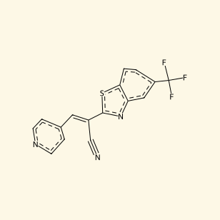 N#CC(=Cc1ccncc1)c1nc2cc(C(F)(F)F)ccc2s1